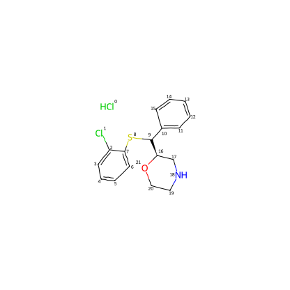 Cl.Clc1ccccc1SC(c1ccccc1)[C@H]1CNCCO1